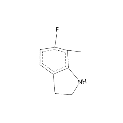 Cc1c(F)ccc2c1NCC2